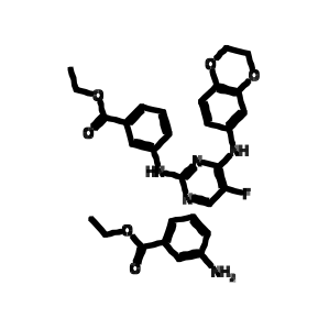 CCOC(=O)c1cccc(N)c1.CCOC(=O)c1cccc(Nc2ncc(F)c(Nc3ccc4c(c3)OCCO4)n2)c1